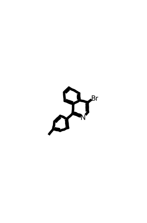 Cc1ccc(-c2ncc(Br)c3ccccc23)cc1